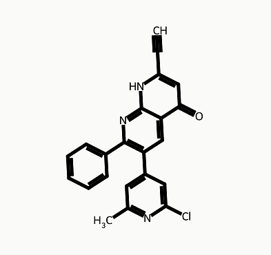 C#Cc1cc(=O)c2cc(-c3cc(C)nc(Cl)c3)c(-c3ccccc3)nc2[nH]1